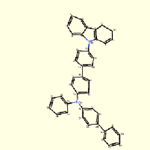 C1=Cc2c(c3ccccc3n2-c2ccc(-c3ccc(N(c4ccccc4)c4ccc(-c5ccccc5)cc4)cc3)cc2)CC1